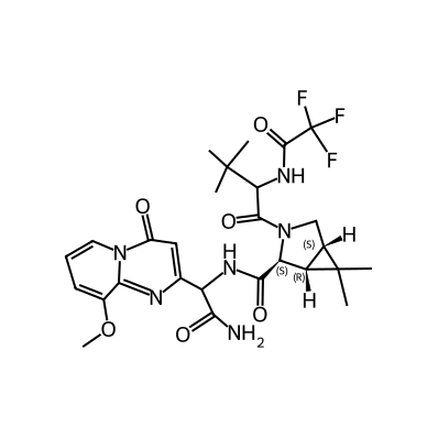 COc1cccn2c(=O)cc(C(NC(=O)[C@@H]3[C@@H]4[C@H](CN3C(=O)C(NC(=O)C(F)(F)F)C(C)(C)C)C4(C)C)C(N)=O)nc12